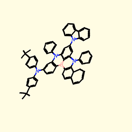 CC(C)(C)c1ccc(N(c2ccc(C(C)(C)C)cc2)c2ccc3c(c2)N(c2ccccc2)c2cc(-n4c5ccccc5c5ccccc54)cc4c2B3C2=C(C3CC=CC=CC3=CC2)N4c2ccccc2)cc1